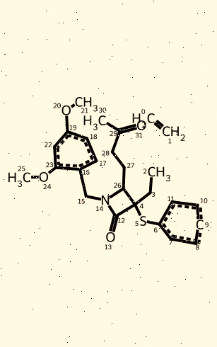 C=C.CCC1(Sc2ccccc2)C(=O)N(Cc2ccc(OC)cc2OC)C1CCC(C)=O